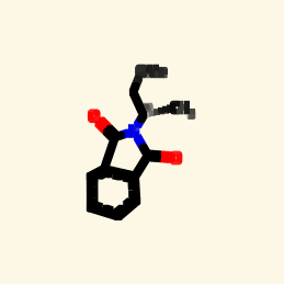 COC[C@H](C)N1C(=O)c2ccccc2C1=O